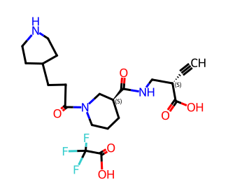 C#C[C@@H](CNC(=O)[C@H]1CCCN(C(=O)CCC2CCNCC2)C1)C(=O)O.O=C(O)C(F)(F)F